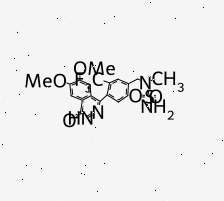 COc1cc2c(-c3ccc(CN(C)S(N)(=O)=O)cc3C(F)(F)F)n[nH]c(=O)c2cc1OC